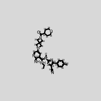 CCN/C(=C1/C=C(N2CC3(CN(C(=O)C4CCOCC4)C3)C2)C=NC1=N)N(C)c1nc(-c2ccc(F)cc2)c(C#N)s1